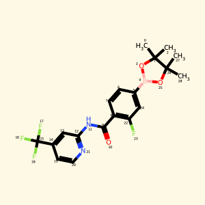 CC1(C)OB(c2ccc(C(=O)Nc3cc(C(F)(F)F)ccn3)c(F)c2)OC1(C)C